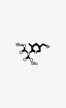 Cc1cc(CBr)cnc1N(C(=O)OC(C)(C)C)C(=O)OC(C)(C)C